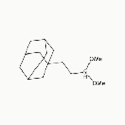 CO[SiH](CCC12CC3CC(CC(C3)C1)C2)OC